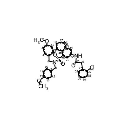 COc1ccc(CN(Cc2ccc(OC)cc2)S(=O)(=O)c2cc(NC(=O)Cc3ccccc3Cl)cc3ncccc23)cc1